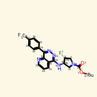 CC(C)(C)OC(=O)N1C[C@@H](F)[C@H](Nc2nnc(-c3ccc(C(F)(F)F)cc3)c3ncccc23)C1